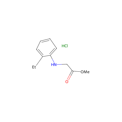 CCc1ccccc1NCC(=O)OC.Cl